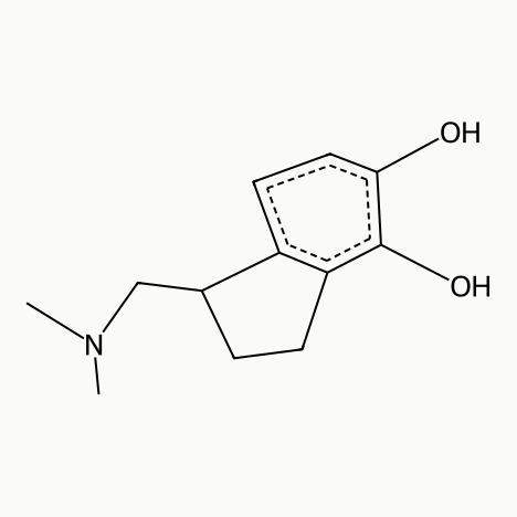 CN(C)CC1CCc2c1ccc(O)c2O